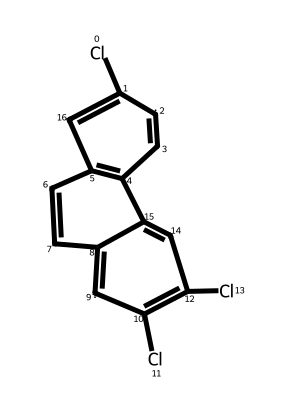 Clc1[c]cc2c(ccc3[c]c(Cl)c(Cl)cc32)c1